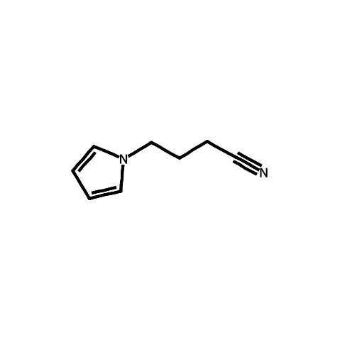 N#CCCCn1cccc1